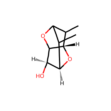 CC1C2OC3[C@H]1O[C@H](C2C)[C@H]3O